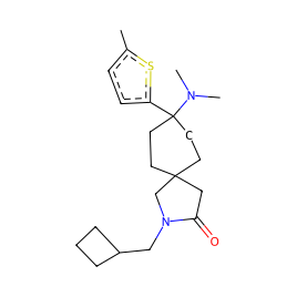 Cc1ccc(C2(N(C)C)CCC3(CC2)CC(=O)N(CC2CCC2)C3)s1